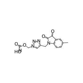 Cc1ccc2c(c1)C(=O)C(=O)N2Cc1cn(CO[PH](=O)O)nn1